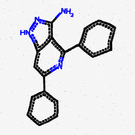 Nc1n[nH]c2cc(-c3ccccc3)nc(-c3ccccc3)c12